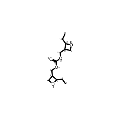 CCC1OCC1COC(=O)OCC1COC1CC